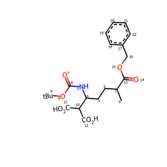 CC(CCC(NC(=O)OC(C)(C)C)C(C(=O)O)C(=O)O)C(=O)OCc1ccccc1